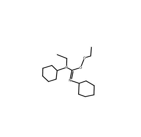 CCOOC(=NC1CCCCC1)N(CC)C1CCCCC1